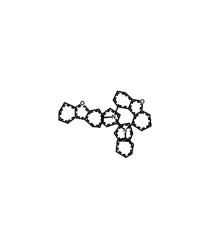 c1ccc(N(c2ccccc2)c2cccc3oc4cccc(N(c5ccccc5)c5ccc6c(c5)oc5ccccc56)c4c23)cc1